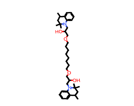 CC1CC(C)(C)N(CC(O)COCCCCCCCCOCC(O)CN2c3ccccc3C(C)CC2(C)C)c2ccccc21